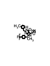 Cc1cccc(Cc2nc3c(c(-c4nnco4)nn3C(C)c3ccc(C(F)(F)F)cc3)c(=O)[nH]2)c1